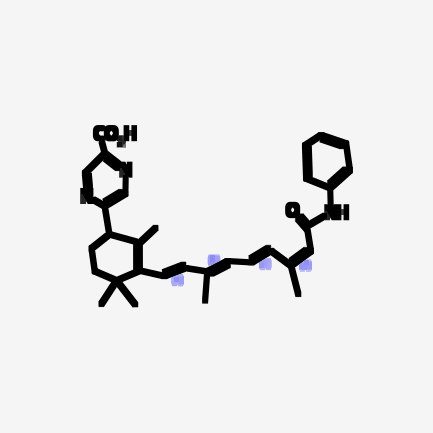 CC1=C(/C=C/C(C)=C/C=C/C(C)=C\C(=O)Nc2ccccc2)C(C)(C)CCC1c1cnc(C(=O)O)cn1